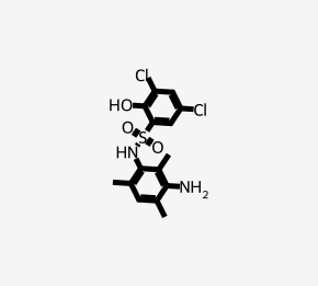 Cc1cc(C)c(NS(=O)(=O)c2cc(Cl)cc(Cl)c2O)c(C)c1N